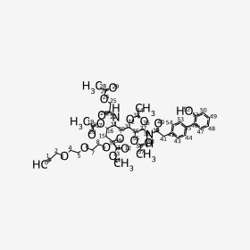 C#CCOCCOCCO[C@]1(C(=O)OC)C[C@H](OC(C)=O)[C@@H](NC(=O)COC(C)=O)[C@H]([C@H](OC(C)=O)[C@@H](CNC(=O)Cc2ccc(-c3ccccc3O)cc2)OC(C)=O)O1